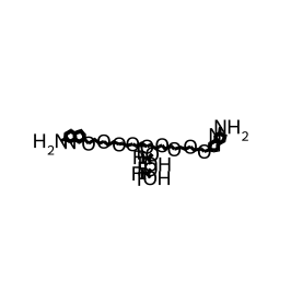 Nc1ccc2ccc(OCCOCCOCCOCCOCCOCCOCCOCCOc3ccc4ccc(N)nc4c3)cc2n1.O=C(O)C(F)(F)F.O=C(O)C(F)(F)F